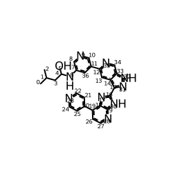 CC(C)CC(O)Nc1cncc(-c2cc3c(-c4nc5c(-c6ccncc6)ccnc5[nH]4)n[nH]c3cn2)c1